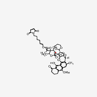 COc1c2c(c(O)c3c4c(c(C)cc13)[C@@H]1O[C@@]3(C5OCCCO5)O[C@@H]1[C@@](OC1CC(O)C(O)(/C(C)=N/OCCCCCCN5C(=O)C=CC5=O)C(C)O1)(O4)[C@@]31CO1)C(=O)CCC2